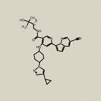 CC(C)(O)[C@H](F)CNC(=O)c1cnc(-c2ccc3cc(C#N)cnn23)cc1NC1CCC(n2cc(C3CC3)nn2)CC1